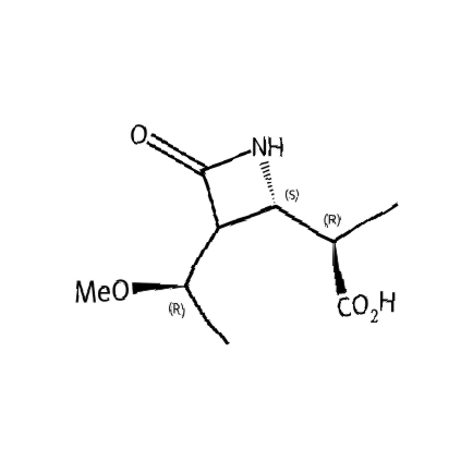 CO[C@H](C)C1C(=O)N[C@@H]1[C@@H](C)C(=O)O